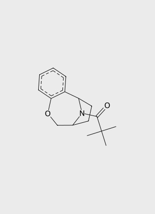 CC(C)(C)C(=O)N1C2CCC1c1ccccc1OC2